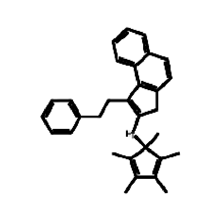 CC1=C(C)[C](C)([Hf][C]2=C(CCc3ccccc3)c3c(ccc4ccccc34)C2)C(C)=C1C